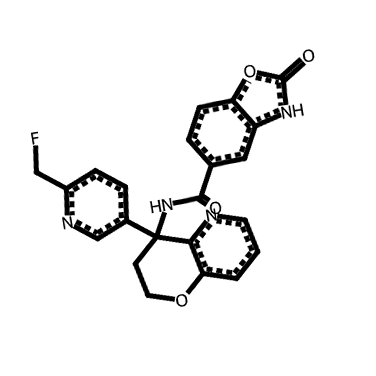 O=C(NC1(c2ccc(CF)nc2)CCOc2cccnc21)c1ccc2oc(=O)[nH]c2c1